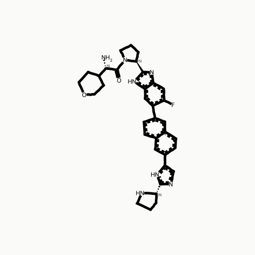 N[C@H](C(=O)N1CCC[C@H]1c1nc2cc(F)c(-c3ccc4cc(-c5cnc([C@@H]6CCCN6)[nH]5)ccc4c3)cc2[nH]1)C1CCOCC1